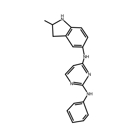 CC1Cc2cc(Nc3ccnc(Nc4ccccc4)n3)ccc2N1